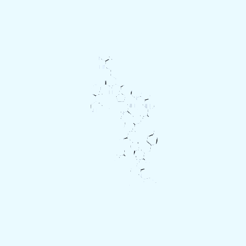 C[C@H](NC(=O)[C@@H]1CCCN1C(=O)[C@H](CCCNC(=N)N)NC(=O)[C@H](CS)NC(=O)[C@@H](N)CS)C(=O)N[C@@H](CS)C(=O)NCC(=O)N[C@@H](CCCNC(=N)N)C(=O)N[C@@H](CC(N)=O)C(=O)N[C@@H](Cc1ccc(O)cc1)C(=O)N[C@@H](CO)C(=O)N[C@@H](CS)C(=O)O